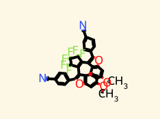 COc1ccc2c(C3=C(c4c(-c5ccc(C#N)cc5)oc5cc(OC)ccc45)C(F)(F)C(F)(F)C3(F)F)c(-c3ccc(C#N)cc3)oc2c1